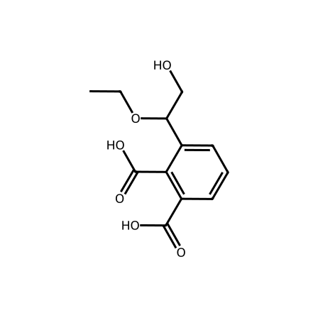 CCOC(CO)c1cccc(C(=O)O)c1C(=O)O